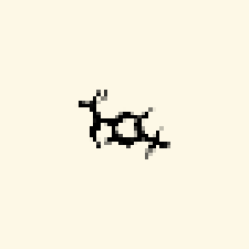 CC(Cl)c1coc2cc(C(F)(F)F)c(F)cc12